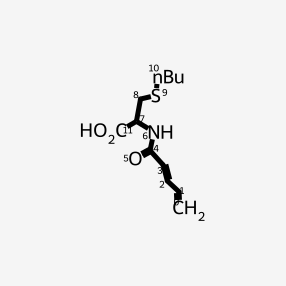 C=CC=CC(=O)NC(CSCCCC)C(=O)O